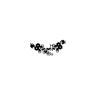 CC(C)(C)OC(=O)N(CCCNCCN1C(=O)c2cccc3c(-n4ccnc4)ccc(c23)C1=O)CCN1C(=O)c2cccc3c(-n4ccnc4)ccc(c23)C1=O